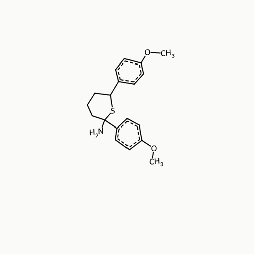 COc1ccc(C2CCCC(N)(c3ccc(OC)cc3)S2)cc1